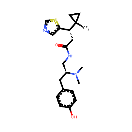 CN(C)[C@H](CNC(=O)C[C@H](c1cncs1)C1(C(F)(F)F)CC1)Cc1ccc(O)cc1